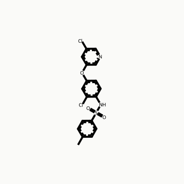 Cc1ccc(S(=O)(=O)Nc2ccc(Oc3cncc(Cl)c3)cc2Cl)cc1